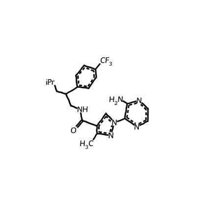 Cc1nn(-c2nccnc2N)cc1C(=O)NCC(CC(C)C)c1ccc(C(F)(F)F)cc1